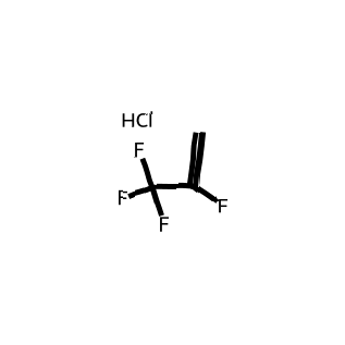 C=C(F)C(F)(F)F.Cl